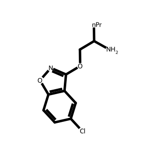 CCCC(N)COc1noc2ccc(Cl)cc12